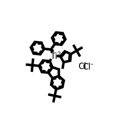 CC1C=C(C(C)(C)C)C=[C]1[Ti+2](=[C](c1ccccc1)c1ccccc1)[c]1cc(C(C)(C)C)cc2c1Cc1ccc(C(C)(C)C)cc1-2.[Cl-].[Cl-]